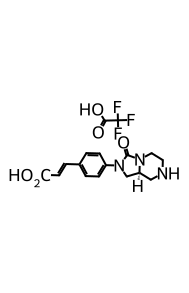 O=C(O)/C=C/c1ccc(N2C[C@@H]3CNCCN3C2=O)cc1.O=C(O)C(F)(F)F